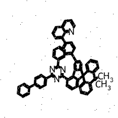 CC1(C)c2ccccc2C2(c3ccc(-c4ccc(-c5cccc6cccnc56)cc4)cc3-c3c(-c4nc(-c5ccccc5)nc(-c5ccc(-c6ccccc6)cc5)n4)cccc32)c2ccccc21